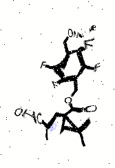 COCc1c(F)c(F)c(COC(=O)C2(/C=C(\C)C=O)CC2(C)C)c(F)c1F